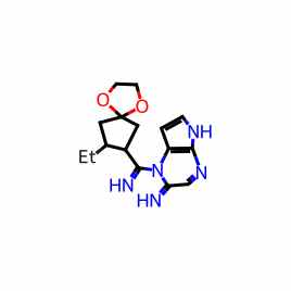 CCC1CC2(CC1C(=N)n1c(=N)cnc3[nH]ccc31)OCCO2